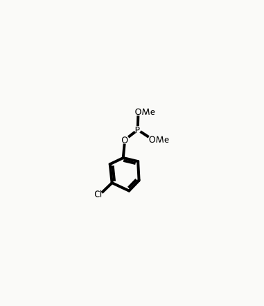 COP(OC)Oc1cccc(Cl)c1